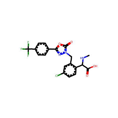 CNC(C(=O)O)c1ccc(Cl)cc1Cn1nc(-c2ccc(C(F)(F)F)cc2)oc1=O